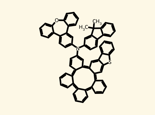 CC1(C)c2ccccc2-c2ccc(N(c3ccc4c(c3)-c3ccccc3Oc3ccccc3-4)c3ccc4c5ccccc5c5ccccc5c5ccccc5c5cc6sc7ccccc7c6cc5c4c3)cc21